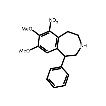 COc1cc2c(c([N+](=O)[O-])c1OC)CCNCC2c1ccccc1